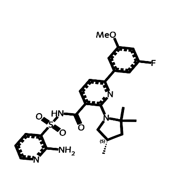 COc1cc(F)cc(-c2ccc(C(=O)NS(=O)(=O)c3cccnc3N)c(N3C[C@@H](C)CC3(C)C)n2)c1